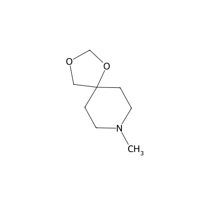 CN1CCC2(CC1)COCO2